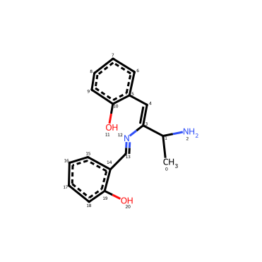 CC(N)C(=Cc1ccccc1O)N=Cc1ccccc1O